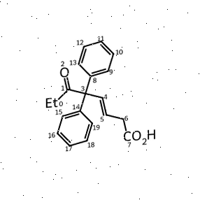 CCC(=O)C(C=CCC(=O)O)(c1ccccc1)c1ccccc1